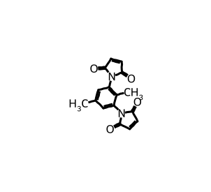 Cc1cc(N2C(=O)C=CC2=O)c(C)c(N2C(=O)C=CC2=O)c1